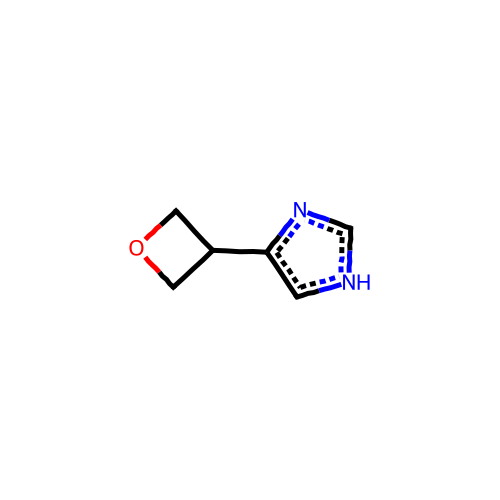 c1nc(C2COC2)c[nH]1